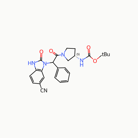 CC(C)(C)OC(=O)N[C@H]1CCN(C(=O)C(c2ccccc2)n2c(=O)[nH]c3ccc(C#N)cc32)C1